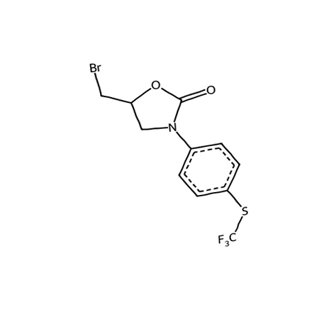 O=C1OC(CBr)CN1c1ccc(SC(F)(F)F)cc1